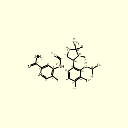 Cc1cnc(C(N)=O)cc1NC(=O)[C@@H]1O[C@@](C)(C(F)(F)F)[C@@H](C)[C@H]1c1ccc(F)c(F)c1OC(F)F